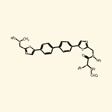 CCCN(C)Cc1ncc(-c2ccc(-c3ccc(-c4cnc(CN(CCC)C(=O)[C@@H](NC=O)C(C)C)s4)cc3)cc2)s1